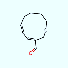 O=CC1=CC=CCCCCCC1